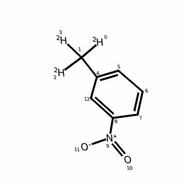 [2H]C([2H])([2H])c1cccc([N+](=O)[O-])c1